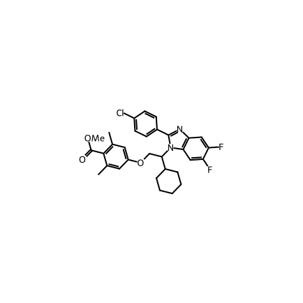 COC(=O)c1c(C)cc(OCC(C2CCCCC2)n2c(-c3ccc(Cl)cc3)nc3cc(F)c(F)cc32)cc1C